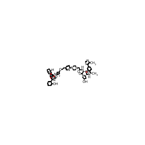 Cc1ncsc1-c1ccc([C@H](C)NC(=O)[C@@H]2C[C@@H](O)CN2C(=O)[C@@H](NC(=O)CN2CCN(c3ccc(CCOC4CC(Oc5cc(N6C7CC[C@@H]6CN(c6cc(-c8ccccc8O)nnc6N)C7)ccn5)C4)cn3)CC2)C(C)(C)C)cc1